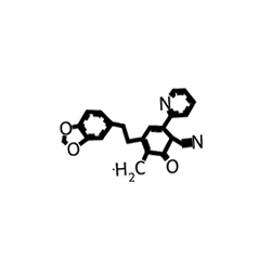 [CH2]C1=C(CCc2ccc3c(c2)OCO3)C=C(c2ccccn2)C(C#N)C1=O